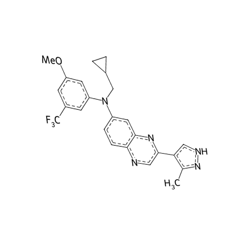 COc1cc(N(CC2CC2)c2ccc3ncc(-c4c[nH]nc4C)nc3c2)cc(C(F)(F)F)c1